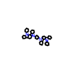 c1ccc(-n2c3ccccc3c3ccc4c(c5ccccc5n4-c4ccc(-n5c6ccccc6c6c5ccc5c7ccccc7n(-c7ccccc7)c56)cc4)c32)cc1